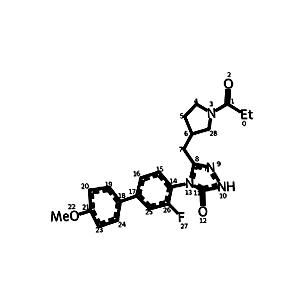 CCC(=O)N1CCC(Cc2n[nH]c(=O)n2-c2ccc(-c3ccc(OC)cc3)cc2F)C1